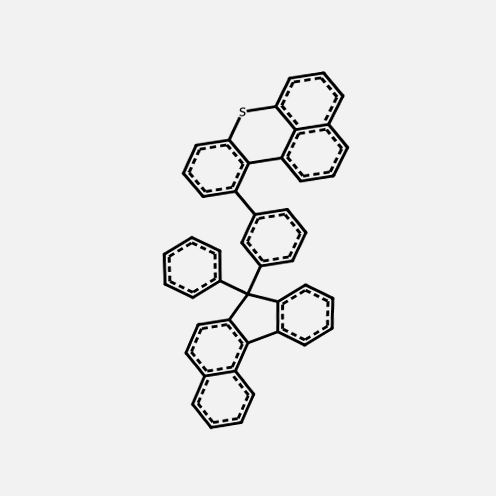 c1ccc(C2(c3cccc(-c4cccc5c4-c4cccc6cccc(c46)S5)c3)c3ccccc3-c3c2ccc2ccccc32)cc1